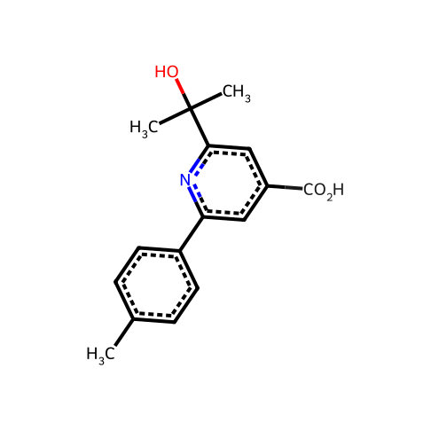 Cc1ccc(-c2cc(C(=O)O)cc(C(C)(C)O)n2)cc1